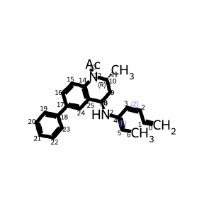 C=C/C=C\C(=C/C)N[C@@H]1C[C@@H](C)N(C(C)=O)c2ccc(-c3ccccc3)cc21